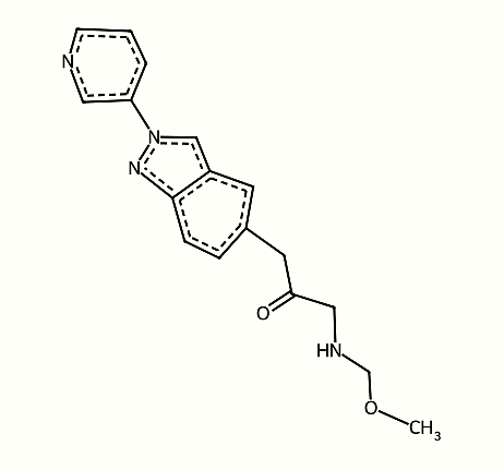 COCNCC(=O)Cc1ccc2nn(-c3cccnc3)cc2c1